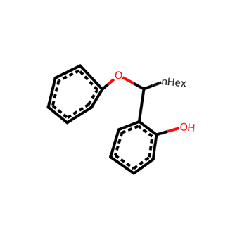 CCCCCCC(Oc1ccccc1)c1ccccc1O